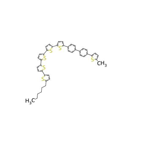 CCCCCCc1ccc(-c2ccc(-c3ccc(-c4ccc(-c5ccc(-c6ccc(-c7ccc(-c8ccc(C)s8)cc7)cc6)s5)s4)s3)s2)s1